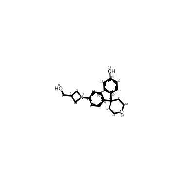 OCC1CN(c2ccc(C3(c4ccc(O)cc4)CCOCC3)cc2)C1